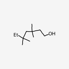 CCC(C)(C)CC(C)(C)CCO